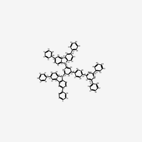 c1ccc(-c2ccc3c(c2)c2cc(-c4ccccc4)ccc2n3-c2cc(-c3ccc(-c4cc(-c5ccccc5)nc(-c5ccccc5)n4)cc3)cc(-n3c4ccc(-c5ccccc5)cc4c4cc(-c5ccccc5)ccc43)n2)cc1